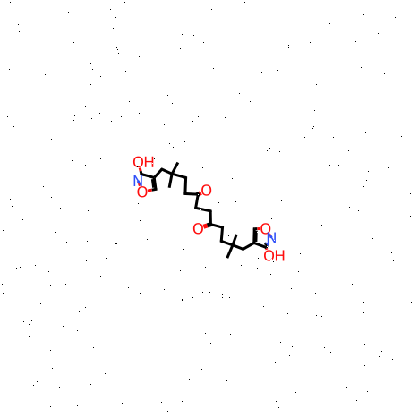 CC(C)(CCC(=O)CCC(=O)CCC(C)(C)Cc1conc1O)Cc1conc1O